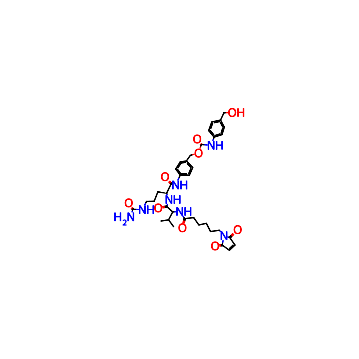 CC(C)C(NC(=O)CCCCCN1C(=O)C=CC1=O)C(=O)N[C@@H](CCCNC(N)=O)C(=O)Nc1ccc(COC(=O)Nc2ccc(CO)cc2)cc1